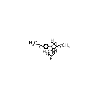 CCCOc1ccc(C(O)c2c(C(=O)OCC)nn(CC(F)F)c2C)cc1